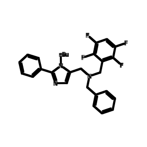 CCCCn1c(CN(Cc2ccccc2)Cc2c(F)c(F)cc(F)c2F)cnc1-c1ccccc1